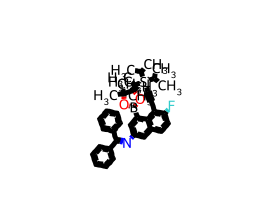 CC(C)[Si](C#Cc1c(F)ccc2cc(N=C(c3ccccc3)c3ccccc3)cc(B3OC(C)(C)C(C)(C)O3)c12)(C(C)C)C(C)C